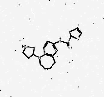 N=C(Nc1ccc2c(c1)CCCCN2C1CCNC1)C1CC=CS1